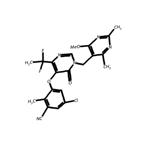 COc1nc(C)nc(C)c1Cn1cnc(C(C)(F)F)c(Oc2cc(Cl)cc(C#N)c2C)c1=O